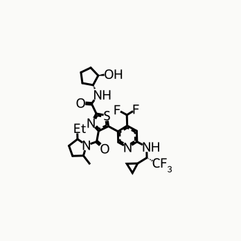 CCC1CCC(C)N1C(=O)c1nc(C(=O)N[C@@H]2CCC[C@H]2O)sc1-c1cnc(N[C@@H](C2CC2)C(F)(F)F)cc1C(F)F